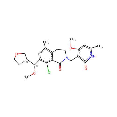 COc1cc(C)[nH]c(=O)c1CN1CCc2c(C)cc([C@H](OC)[C@@H]3CCOC3)c(Cl)c2C1=O